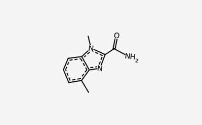 Cc1cccc2c1nc(C(N)=O)n2C